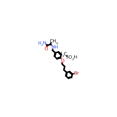 CC(NCc1ccc(OCCCc2cccc(Br)c2)cc1)C(N)=O.CS(=O)(=O)O